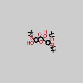 CC(C)(C)[Si](C)(C)Oc1cc2c(=O)c(O)c(-c3ccc(O[Si](C)(C)C(C)(C)C)c(O[Si](C)(C)C(C)(C)C)c3)oc2cc1O